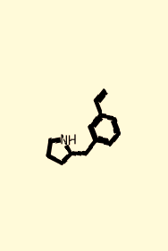 C=Cc1cccc(CC2CCCN2)c1